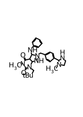 CN1C(=O)C2C(Nc3ccccc3)N(Cc3ccc(C4NCCN4C)cc3)NC2N(CC(C)(C)C)C1=O